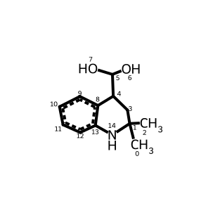 CC1(C)CC(C(O)O)c2ccccc2N1